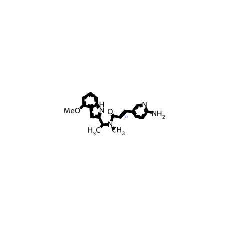 COc1cccc2[nH]c(C(C)N(C)C(=O)/C=C/c3ccc(N)nc3)cc12